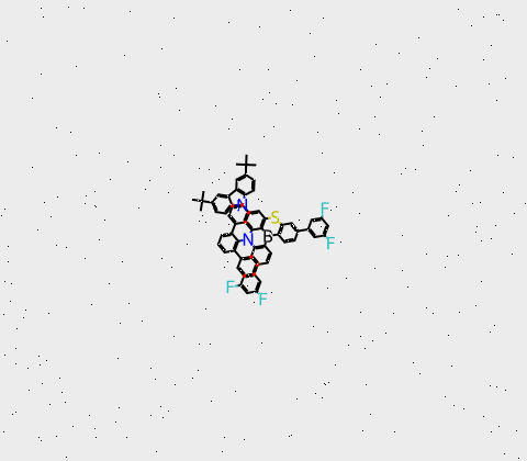 CC(C)(C)c1ccc2c(c1)c1cc(C(C)(C)C)ccc1n2-c1cc2c3c(c1)N(c1c(-c4ccccc4)cccc1-c1ccccc1)c1cc(-c4cc(F)cc(F)c4)ccc1B3c1ccc(-c3cc(F)cc(F)c3)cc1S2